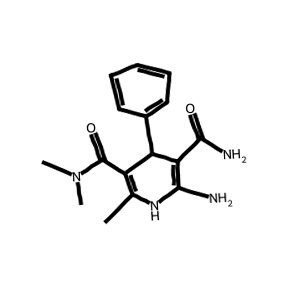 CC1=C(C(=O)N(C)C)C(c2ccccc2)C(C(N)=O)=C(N)N1